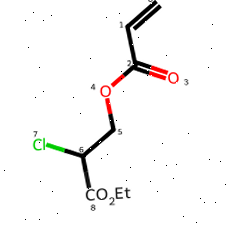 C=CC(=O)OCC(Cl)C(=O)OCC